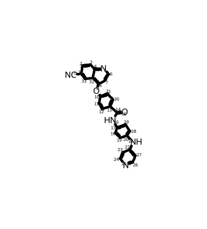 N#Cc1ccc2nccc(Oc3ccc(C(=O)Nc4ccc(Nc5ccncc5)cc4)cc3)c2c1